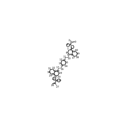 C=C(C)C(=O)Oc1ccc(CCc2ccc(CCc3ccc(OC(=O)C(=C)C)c4ccccc34)cc2)c2ccccc12